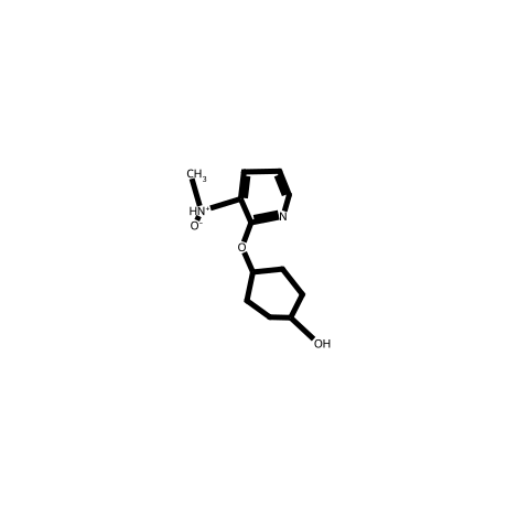 C[NH+]([O-])c1cccnc1OC1CCC(O)CC1